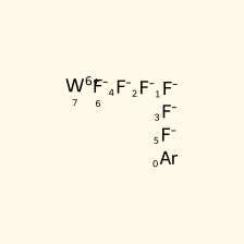 [Ar].[F-].[F-].[F-].[F-].[F-].[F-].[W+6]